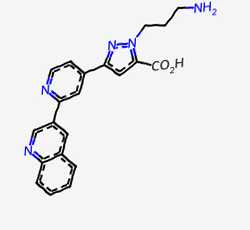 NCCCn1nc(-c2ccnc(-c3cnc4ccccc4c3)c2)cc1C(=O)O